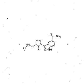 NC(=O)c1ccc2[nH]nc(-c3cccc(CNC4CC4)c3F)c2c1